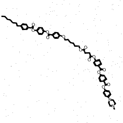 CCCCCCCc1ccc(C(=O)Oc2ccc(OC(=O)c3ccc(OCCCCCCOC(=O)CCC(=O)Oc4ccc(C(=O)Oc5ccc(C(=O)Oc6ccc(N7CCN(C)CC7)cc6)cc5)cc4)cc3)cc2)cc1